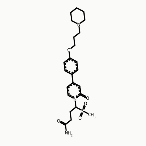 CS(=O)(=O)C(CCC(N)=O)n1ccc(-c2ccc(OCCCN3CCCCC3)cc2)cc1=O